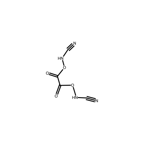 N#CNOC(=O)C(=O)ONC#N